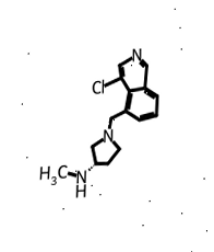 CN[C@H]1CCN(Cc2cccc3cncc(Cl)c23)C1